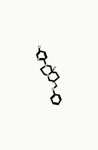 Clc1ccc(N2CCN3C[C@H](COc4ccccc4)CC[C@H]3C2)nc1